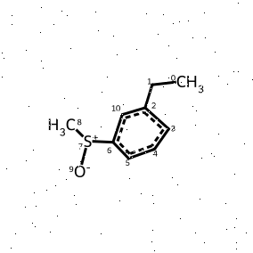 CCc1cccc([S+](C)[O-])c1